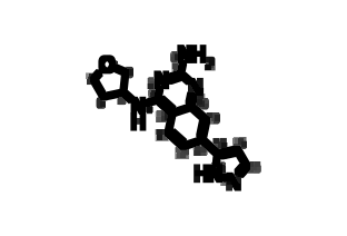 Nc1nc(NC2CCOC2)c2ccc(-c3ccn[nH]3)cc2n1